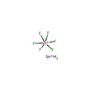 [F][Zr-2]([F])([F])([F])([F])[F].[SnH2+2]